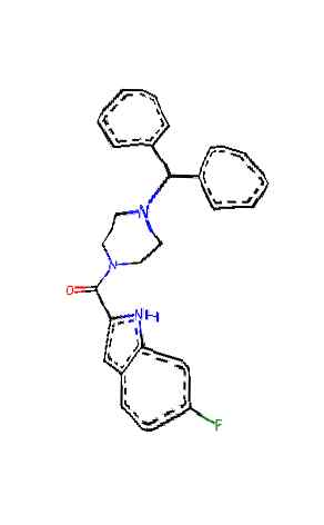 O=C(c1cc2ccc(F)cc2[nH]1)N1CCN(C(c2ccccc2)c2ccccc2)CC1